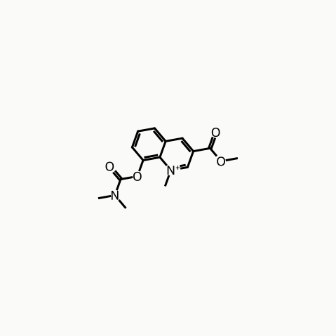 COC(=O)c1cc2cccc(OC(=O)N(C)C)c2[n+](C)c1